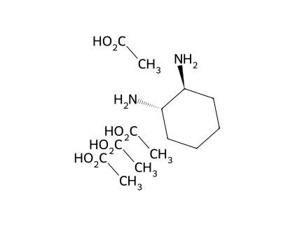 CC(=O)O.CC(=O)O.CC(=O)O.CC(=O)O.N[C@H]1CCCC[C@@H]1N